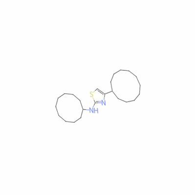 c1sc(NC2CCCCCCCCC2)nc1C1CCCCCCCCCC1